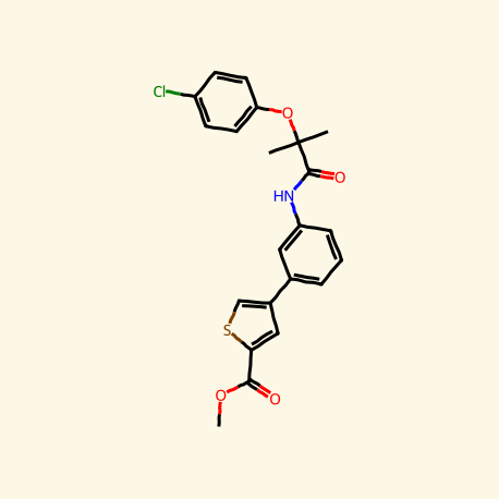 COC(=O)c1cc(-c2cccc(NC(=O)C(C)(C)Oc3ccc(Cl)cc3)c2)cs1